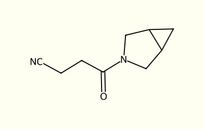 N#CCCC(=O)N1CC2CC2C1